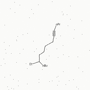 [CH2]CCC#CCCCCC(CC)CCC[CH2]